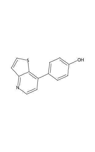 Oc1ccc(-c2ccnc3ccsc23)cc1